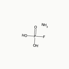 N.O=P(O)(O)F